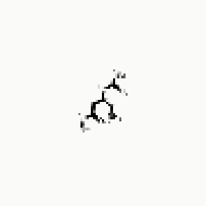 CCCCC(=O)O[C@@H](CN)CC(=O)OCCC